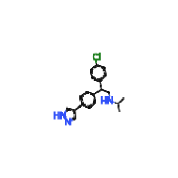 CC(C)NCC(c1ccc(Cl)cc1)c1ccc(-c2cn[nH]c2)cc1